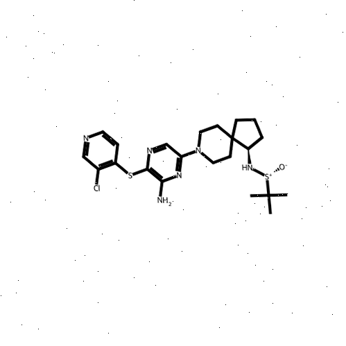 CC(C)(C)[S@@+]([O-])N[C@@H]1CCCC12CCN(c1cnc(Sc3ccncc3Cl)c(N)n1)CC2